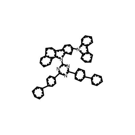 c1ccc(-c2ccc(-c3nc(-c4ccc(-c5ccccc5)cc4)nc(-n4c5cc(-n6c7ccccc7c7ccccc76)ccc5c5ccc6ccccc6c54)n3)cc2)cc1